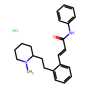 CN1CCCCC1CCc1ccccc1/C=C/C(=O)Nc1ccccc1.Cl